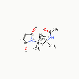 CC(C)C(=O)NC(C)(C)CC(C)(C)N1C(=O)C=CC1=O